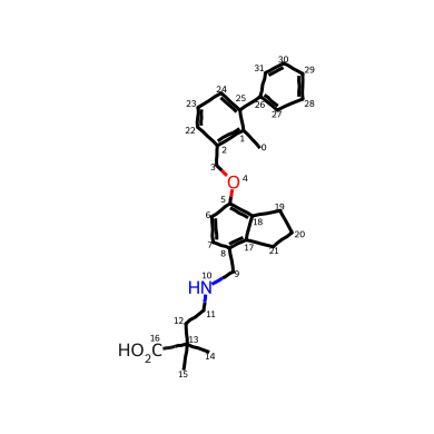 Cc1c(COc2ccc(CNCCC(C)(C)C(=O)O)c3c2CCC3)cccc1-c1ccccc1